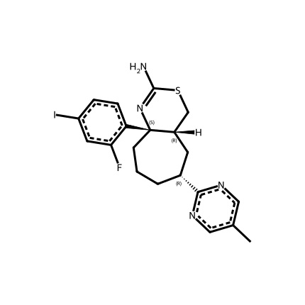 Cc1cnc([C@@H]2CCC[C@]3(c4ccc(I)cc4F)N=C(N)SC[C@@H]3C2)nc1